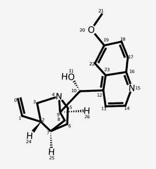 C=C[C@@H]1CN2CC[C@@H]1C[C@@H]2[C@H](O)c1ccnc2ccc(OC)cc12